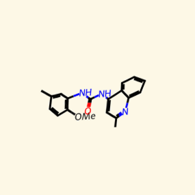 COc1ccc(C)cc1NC(=O)Nc1cc(C)nc2ccccc12